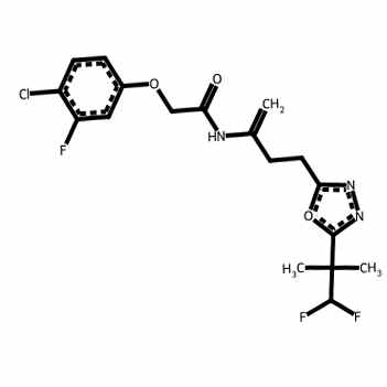 C=C(CCc1nnc(C(C)(C)C(F)F)o1)NC(=O)COc1ccc(Cl)c(F)c1